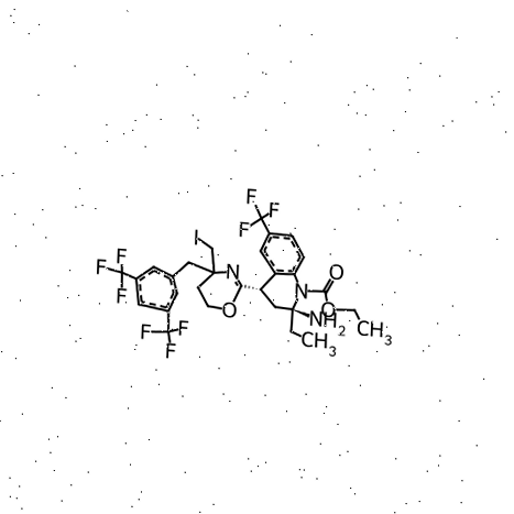 CCOC(=O)N1c2ccc(C(F)(F)F)cc2[C@@H](C2=NC(CI)(Cc3cc(C(F)(F)F)cc(C(F)(F)F)c3)CCO2)C[C@@]1(N)CC